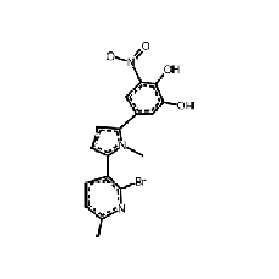 Cc1ccc(-c2ccc(-c3cc(O)c(O)c([N+](=O)[O-])c3)n2C)c(Br)n1